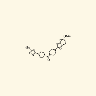 COc1ccc2oc(N3CCN(C(=O)c4ccc(-c5noc(C(C)(C)C)n5)cc4)CC3)nc2n1